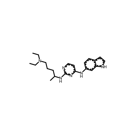 CCN(CC)CCCC(C)Nc1nccc(Nc2ccc3cc[nH]c3c2)n1